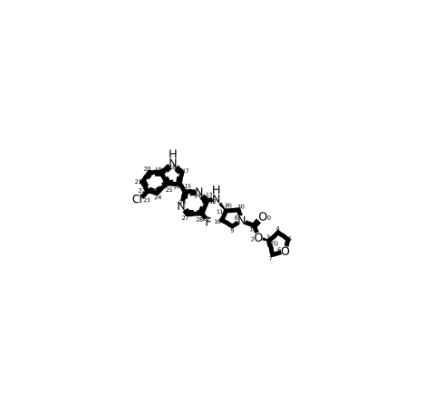 O=C(O[C@H]1CCOC1)N1CC[C@@H](Nc2nc(-c3c[nH]c4ccc(Cl)cc34)ncc2F)C1